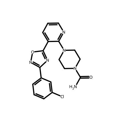 NC(=O)N1CCN(c2ncccc2-c2nc(-c3cccc(Cl)c3)no2)CC1